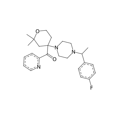 CC(c1ccc(F)cc1)N1CCN(C2(C(=O)c3ccccn3)CCOC(C)(C)C2)CC1